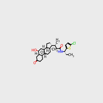 CC[C@H](NC(=O)C[C@@H](C)[C@H]1CC[C@H]2[C@@H]3C[C@H](O)[C@@H]4CC(=O)CC[C@]4(C)[C@H]3CC[C@]12C)c1ccc(Cl)s1